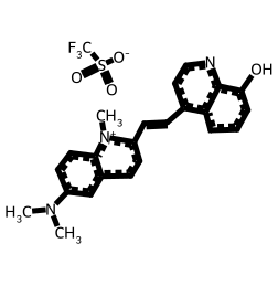 CN(C)c1ccc2c(ccc(C=Cc3ccnc4c(O)cccc34)[n+]2C)c1.O=S(=O)([O-])C(F)(F)F